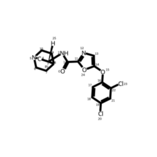 O=C(N[C@H]1CN2CCC1CC2)c1ncc(Oc2ccc(Cl)cc2Cl)o1